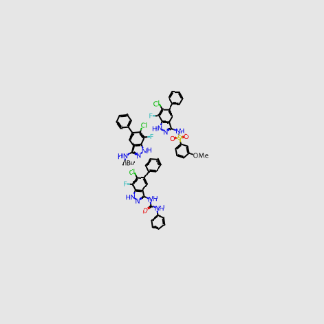 CCCCNc1n[nH]c2c(F)c(Cl)c(-c3ccccc3)cc12.COc1cccc(S(=O)(=O)Nc2n[nH]c3c(F)c(Cl)c(-c4ccccc4)cc23)c1.O=C(Nc1ccccc1)Nc1n[nH]c2c(F)c(Cl)c(-c3ccccc3)cc12